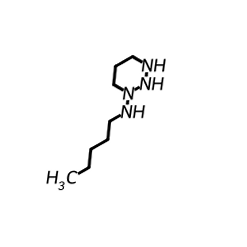 CCCCCNN1CCCNN1